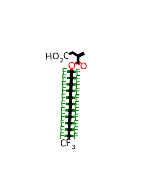 C=C(CC(=O)O)C(=O)OC(F)(F)C(F)(F)C(F)(F)C(F)(F)C(F)(F)C(F)(F)C(F)(F)C(F)(F)C(F)(F)C(F)(F)C(F)(F)C(F)(F)F